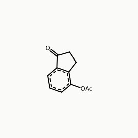 CC(=O)Oc1cccc2c1CCC2=O